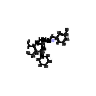 CCc1nc(N/N=C/c2cccc(C)c2)nc(N2CCCCC2)c1CC